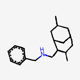 CC1CC2CC(C)C(CNCc3ccccc3)C(C1)C2